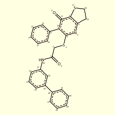 O=C(CSc1nc2c(c(=O)n1-c1ccccc1)SCC2)Nc1cccc(-c2ccccc2)c1